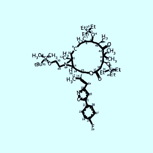 CC[Si](CC)(CC)OC1[C@@H](C)CCC[C@]2(C)[C@H](C[C@@H](/C(C)=C/c3cc(-c4ccc(F)cc4)on3)OC(=O)C[C@H](O[Si](CC)(CC)CC)C(C)(C)C(=O)[C@@H]1C)N2CCO[Si](C)(C)C(C)(C)C